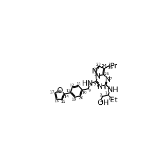 CC[C@@H](CO)Nc1nc(NCc2ccc(-c3ccco3)cc2)n2ncc(C(C)C)c2n1